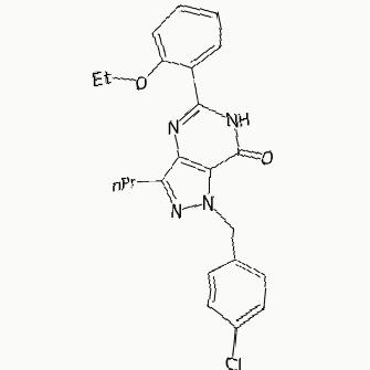 CCCc1nn(Cc2ccc(Cl)cc2)c2c(=O)[nH]c(-c3ccccc3OCC)nc12